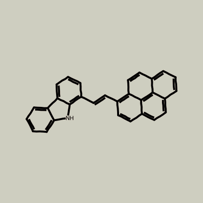 C(=Cc1cccc2c1[nH]c1ccccc12)c1ccc2ccc3cccc4ccc1c2c34